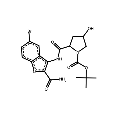 CC(C)(C)OC(=O)N1CC(O)CC1C(=O)Nc1c(C(N)=O)oc2ccc(Br)cc12